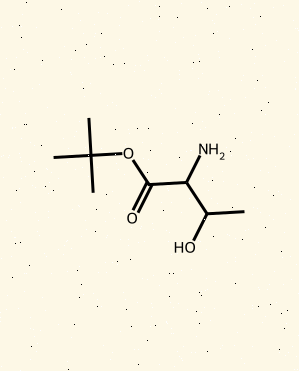 CC(O)C(N)C(=O)OC(C)(C)C